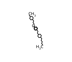 CCCCCCC1CCC(CCc2ccc(OCCCC3CCC(CC)CC3)cc2)CC1